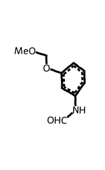 COCOc1cccc(NC=O)c1